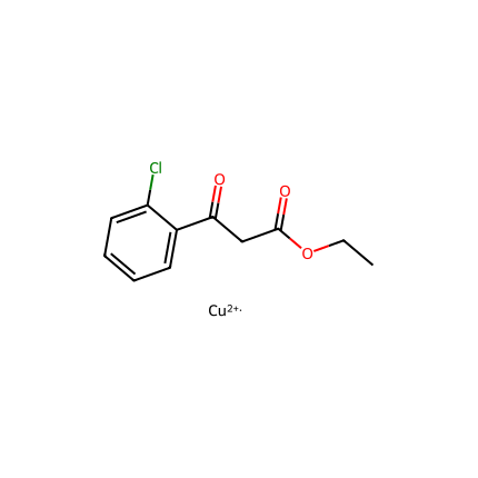 CCOC(=O)CC(=O)c1ccccc1Cl.[Cu+2]